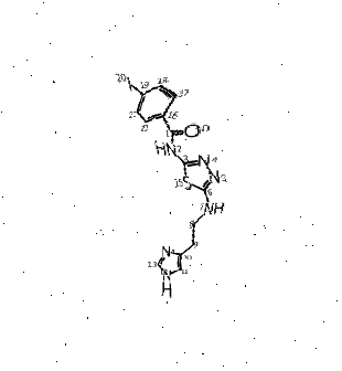 O=C(Nc1nnc(NCCc2c[nH]cn2)s1)c1ccc(I)cc1